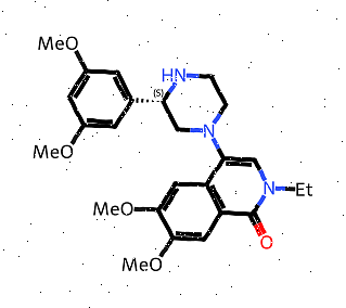 CCn1cc(N2CCN[C@@H](c3cc(OC)cc(OC)c3)C2)c2cc(OC)c(OC)cc2c1=O